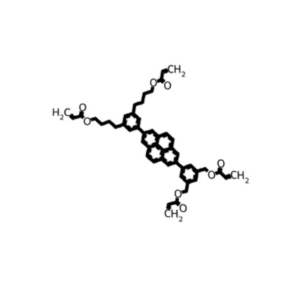 C=CC(=O)OCCCCc1cc(CCCCOC(=O)C=C)cc(-c2cc3ccc4cc(-c5cc(COC(=O)C=C)cc(COC(=O)C=C)c5)cc5ccc(c2)c3c45)c1